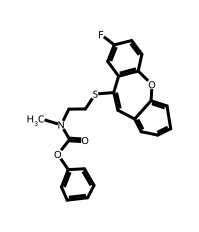 CN(CCSC1=Cc2ccccc2Oc2ccc(F)cc21)C(=O)Oc1ccccc1